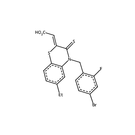 CCc1ccc2c(c1)N(Cc1ccc(Br)cc1F)C(=S)/C(=C/C(=O)O)S2